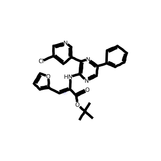 CC(C)(C)OC(=O)/C(=C/c1ccco1)Nc1ncc(-c2ccccc2)nc1-c1cncc(Cl)c1